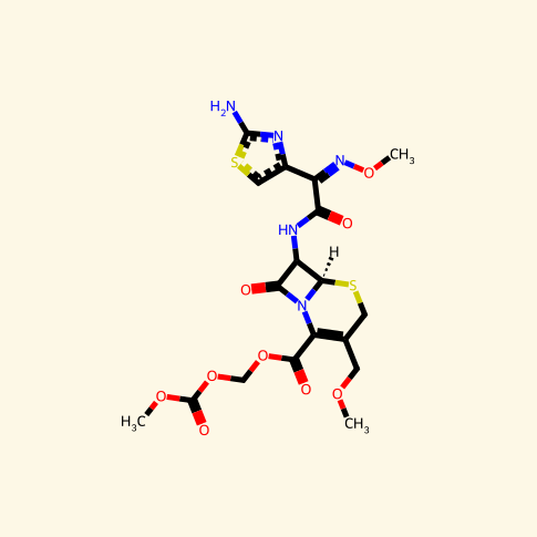 COCC1=C(C(=O)OCOC(=O)OC)N2C(=O)C(NC(=O)/C(=N\OC)c3csc(N)n3)[C@H]2SC1